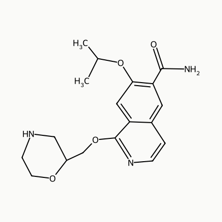 CC(C)Oc1cc2c(OCC3CNCCO3)nccc2cc1C(N)=O